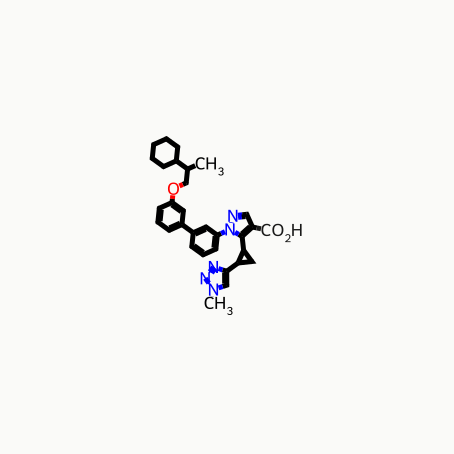 CC(COc1cccc(-c2cccc(-n3ncc(C(=O)O)c3C3CC3c3cn(C)nn3)c2)c1)C1CCCCC1